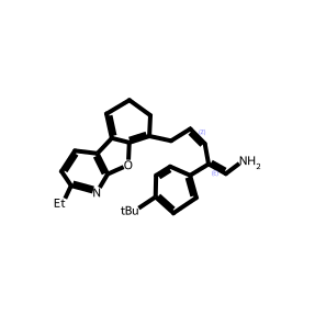 CCc1ccc2c3c(oc2n1)=C(C/C=C\C(=C/N)c1ccc(C(C)(C)C)cc1)CCC=3